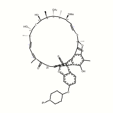 CO[C@H]1/C=C/O[C@@]2(C)Oc3c(C)c(O)c4c(=O)c(c5oc6cc(OC7CCN(C(C)C)CC7)ccc6nc-5c4c3C2=O)NC(=O)/C(C)=C\C=C\[C@H](C)[C@H](O)C[C@@H](O)[C@@H](C)[C@H](OC(C)=O)[C@@H]1C